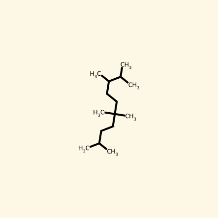 CC(C)C[CH]C(C)(C)CCC(C)C(C)C